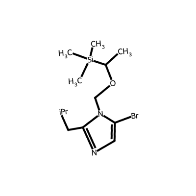 CC(C)Cc1ncc(Br)n1COC(C)[Si](C)(C)C